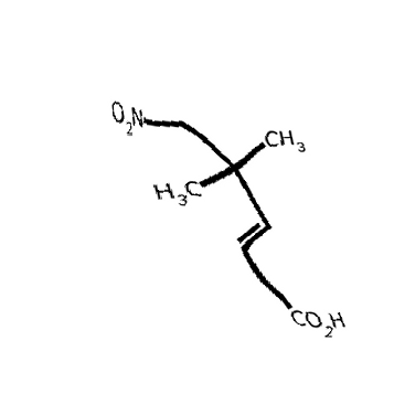 CC(C)(C=CC(=O)O)C[N+](=O)[O-]